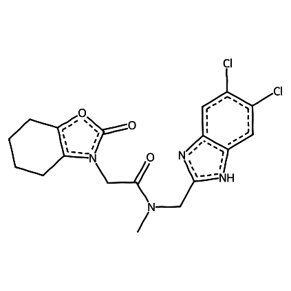 CN(Cc1nc2cc(Cl)c(Cl)cc2[nH]1)C(=O)Cn1c2c(oc1=O)CCCC2